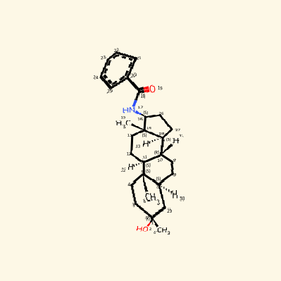 C[C@@]1(O)CC[C@@]2(C)[C@@H](CC[C@@H]3[C@@H]2CC[C@]2(C)[C@@H](NC(=O)c4ccccc4)CC[C@@H]32)C1